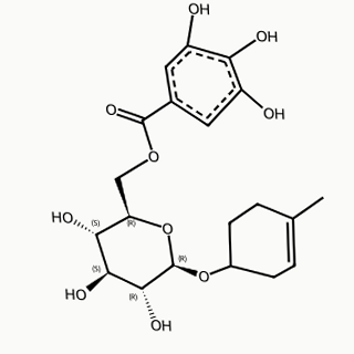 CC1=CCC(O[C@@H]2O[C@H](COC(=O)c3cc(O)c(O)c(O)c3)[C@@H](O)[C@H](O)[C@H]2O)CC1